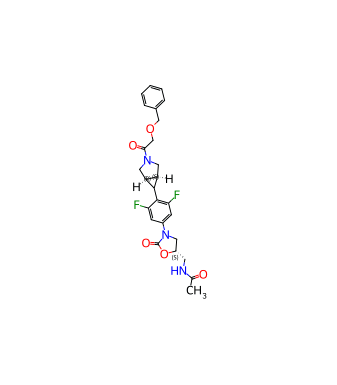 CC(=O)NC[C@H]1CN(c2cc(F)c(C3[C@H]4CN(C(=O)COCc5ccccc5)C[C@@H]34)c(F)c2)C(=O)O1